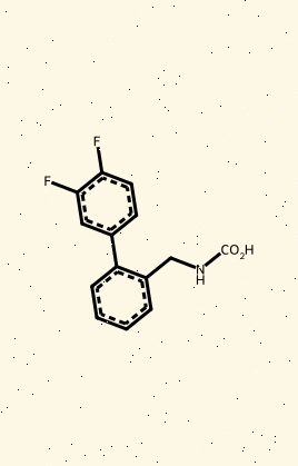 O=C(O)NCc1ccccc1-c1ccc(F)c(F)c1